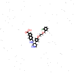 O=C(O)c1ccc2cc(CN[C@@H]3CNCC[C@@H]3c3ccc(OCCCOCc4ccccc4F)cc3)ccc2c1